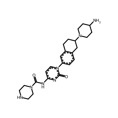 NC1CCN(C2CCc3cc(-n4ccc(NC(=O)N5CCNCC5)nc4=O)ccc3C2)CC1